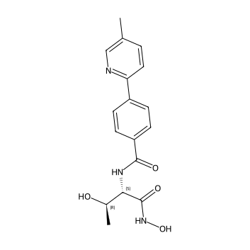 Cc1ccc(-c2ccc(C(=O)N[C@H](C(=O)NO)[C@@H](C)O)cc2)nc1